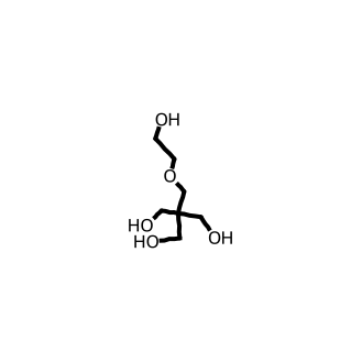 OCCOCC(CO)(CO)CO